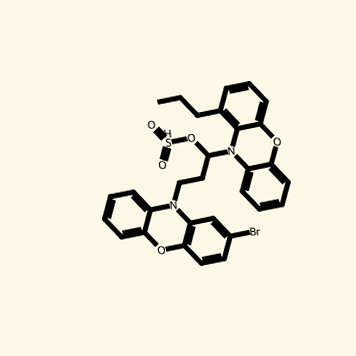 CCCc1cccc2c1N(C(CCN1c3ccccc3Oc3ccc(Br)cc31)O[SH](=O)=O)c1ccccc1O2